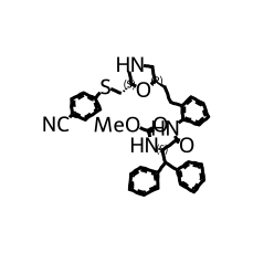 COC(=O)N[C@H](C(=O)Nc1ccccc1CC[C@@H]1CNC[C@@H](CSc2ccc(C#N)cc2)O1)C(c1ccccc1)c1ccccc1